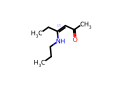 CCCN/C(=C\C(C)=O)CC